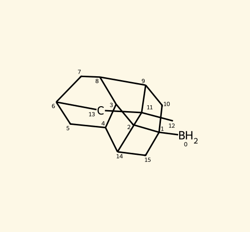 BC12CC3C4CC5CC3C(C1)C(C)(C5)C4C2